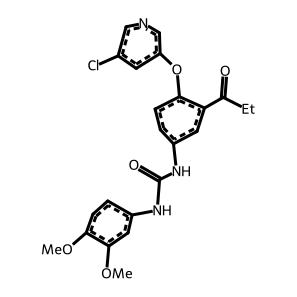 CCC(=O)c1cc(NC(=O)Nc2ccc(OC)c(OC)c2)ccc1Oc1cncc(Cl)c1